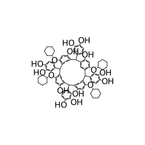 Oc1ccc(C2c3cc(c(OC4CCCCC4)cc3O)C(c3ccc(O)c(O)c3)c3cc(c(O)cc3OC3CCCCC3)C(c3ccc(O)c(O)c3)c3cc(c(OC4CCCCC4)cc3O)C(c3ccc(O)c(O)c3)c3cc2c(O)cc3OC2CCCCC2)cc1O